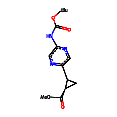 COC(=O)[C@@H]1CC1c1cnc(NC(=O)OC(C)(C)C)cn1